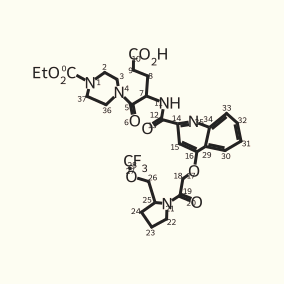 CCOC(=O)N1CCN(C(=O)C(CCC(=O)O)NC(=O)c2cc(OCC(=O)N3CCCC3COC(F)(F)F)c3ccccc3n2)CC1